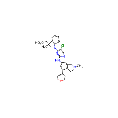 CN1CCc2c(cc(Nc3ncc(Cl)c(N4CC(C)(CC(=O)O)c5ccccc54)n3)cc2C2=CCOCC2)C1